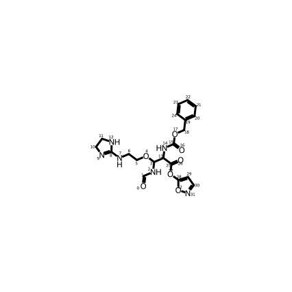 O=CNC(OCCNC1=NCCN1)C(NC(=O)OCc1ccccc1)C(=O)Oc1ccno1